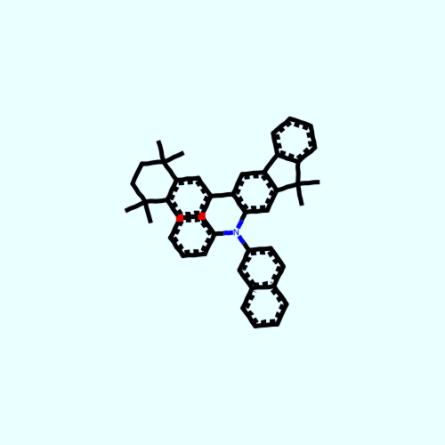 Cc1cc2c(cc1-c1cc3c(cc1N(c1ccccc1)c1ccc4ccccc4c1)C(C)(C)c1ccccc1-3)C(C)(C)CCC2(C)C